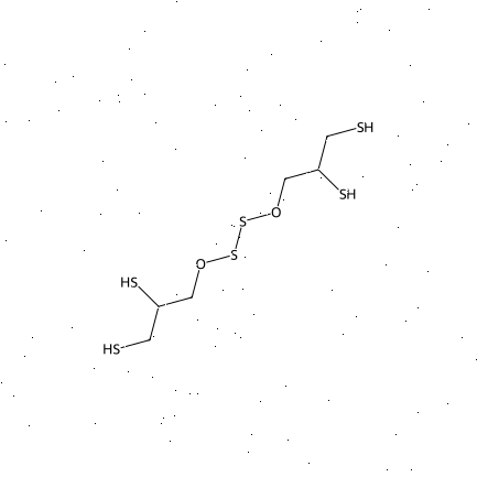 SCC(S)COSSOCC(S)CS